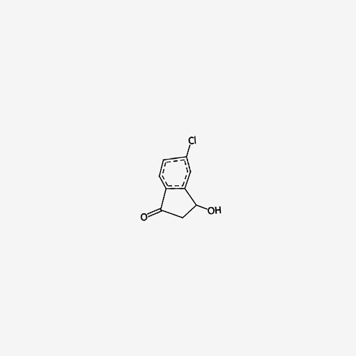 O=C1CC(O)c2cc(Cl)ccc21